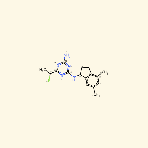 Cc1cc(C)c2c(c1)C(Nc1nc(N)nc(C(C)F)n1)CC2